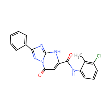 Cc1c(Cl)cccc1NC(=O)c1cc(=O)n2nc(-c3ccccc3)nc2[nH]1